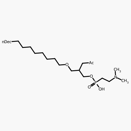 CCCCCCCCCCCCCCCCCCOCC(COP(=O)(O)CCN(C)C)CC(C)=O